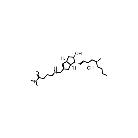 CCCC[C@H](C)C[C@H](O)/C=C/[C@@H]1[C@H]2CC(CNCCCC(=O)N(C)C)=C[C@H]2C[C@H]1O